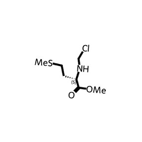 COC(=O)[C@H](CCSC)NCCl